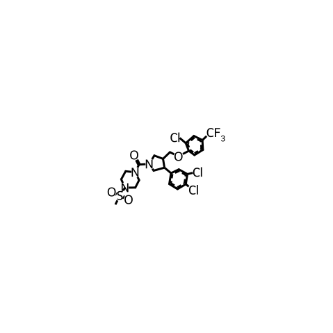 CS(=O)(=O)N1CCN(C(=O)N2CC(COc3ccc(C(F)(F)F)cc3Cl)C(c3ccc(Cl)c(Cl)c3)C2)CC1